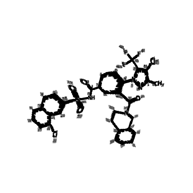 Cc1nn(-c2ccc(C(=O)NS(=O)(=O)c3ccc4cccc(Cl)c4c3)cc2C(=O)N2CCc3ccccc3C2)c(C(F)(F)F)c1Cl